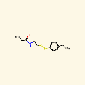 CC(C)(C)CC(=O)NCCSSc1ccc(CC(C)(C)C)cc1